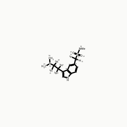 [2H]C([2H])(c1c[nH]c2ccc(C([2H])([2H])S(=O)(=O)NC)cc12)C([2H])([2H])N(C)C